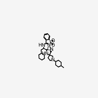 CC1CCC(N2CCC(C#N)(NC(=O)C(CC3CCCCC3)NC3=NS(=O)(=O)c4ccccc43)C2)CC1